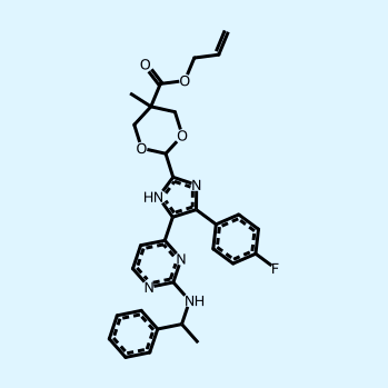 C=CCOC(=O)C1(C)COC(c2nc(-c3ccc(F)cc3)c(-c3ccnc(NC(C)c4ccccc4)n3)[nH]2)OC1